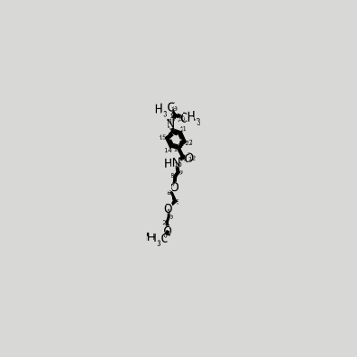 COCCOCCOCCNC(=O)c1ccc(N=C(C)C)cc1